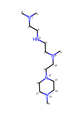 CN(C)CCNCCN(C)CCN1CCN(C)CC1